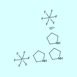 C1CCNC1.C1CCNC1.C1CCNC1.F[P-](F)(F)(F)(F)F.F[P-](F)(F)(F)(F)F.[O+2]